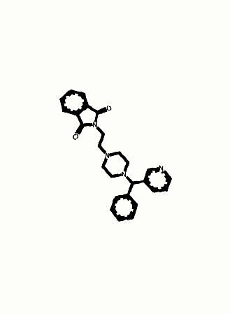 O=C1c2ccccc2C(=O)N1CCN1CCN(C(c2ccccc2)c2cccnc2)CC1